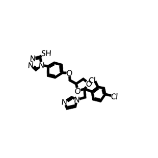 Sc1nncn1-c1ccc(OCC2COC(Cn3ccnc3)(c3ccc(Cl)cc3Cl)O2)cc1